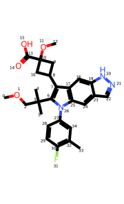 COCC(C)(C)c1c(C2CC(OC)(C(=O)O)C2)c2cc3[nH]ncc3cc2n1-c1ccc(F)c(C)c1